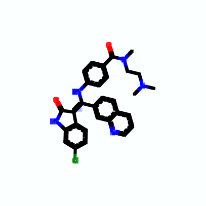 CN(C)CCN(C)C(=O)c1ccc(N/C(=C2\C(=O)Nc3cc(Cl)ccc32)c2ccc3cccnc3c2)cc1